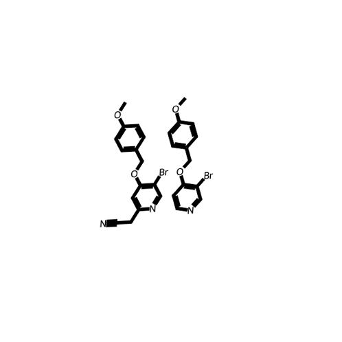 COc1ccc(COc2cc(CC#N)ncc2Br)cc1.COc1ccc(COc2ccncc2Br)cc1